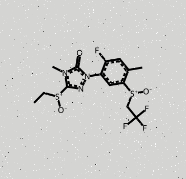 CC[S+]([O-])c1nn(-c2cc([S+]([O-])CC(F)(F)F)c(C)cc2F)c(=O)n1C